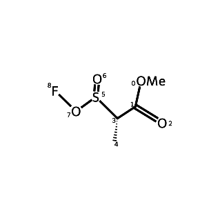 COC(=O)[C@H](C)S(=O)OF